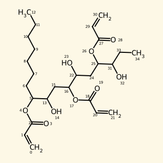 C=CC(=O)OC(CCCCCCC)C(O)CC(OC(=O)C=C)C(O)CC(OC(=O)C=C)C(O)CC